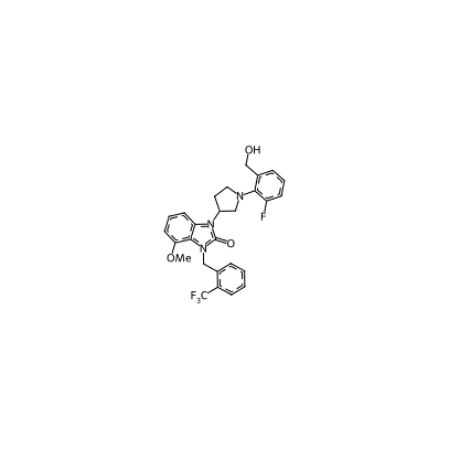 COc1cccc2c1n(Cc1ccccc1C(F)(F)F)c(=O)n2C1CCN(c2c(F)cccc2CO)C1